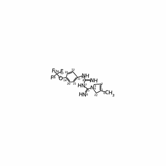 CC1=CCN(C(=N)NC(=N)Nc2ccc(OC(F)(F)F)cc2)C1